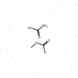 COC(=O)Cl.NC(=O)O